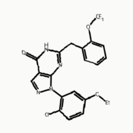 CCOc1ccc(Cl)c(-n2ncc3c(=O)[nH]c(Cc4ccccc4OC(F)(F)F)nc32)c1